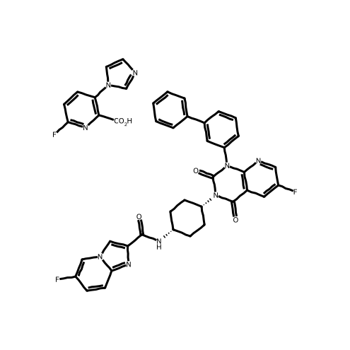 O=C(N[C@H]1CC[C@@H](n2c(=O)c3cc(F)cnc3n(-c3cccc(-c4ccccc4)c3)c2=O)CC1)c1cn2cc(F)ccc2n1.O=C(O)c1nc(F)ccc1-n1ccnc1